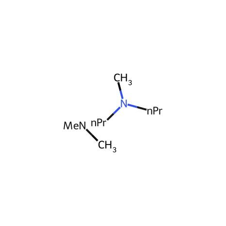 CCCN(C)CCC.CNC